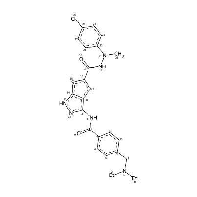 CCN(CC)Cc1ccc(C(=O)Nc2n[nH]c3sc(C(=O)NN(C)c4ccc(Cl)cc4)cc23)cc1